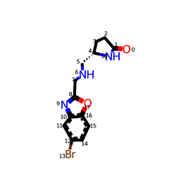 O=C1CC[C@@H](CNCc2nc3cc(Br)ccc3o2)N1